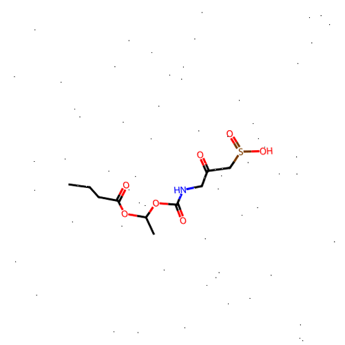 CCCC(=O)OC(C)OC(=O)NCC(=O)CS(=O)O